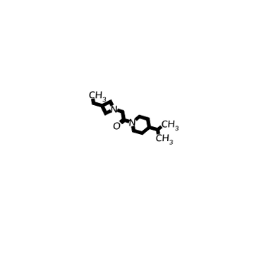 CCC1CN(CC(=O)N2CCC(C(C)C)CC2)C1